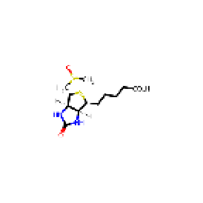 C[S+](C)[O-].O=C(O)CCCC[C@@H]1SC[C@@H]2NC(=O)N[C@@H]21